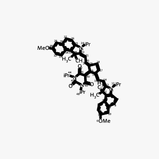 COc1ccc2c3c(ccc2c1)N(C(C)C)/C(=C/C=C1C=C/C(=C\C=C2\N(C(C)C)c4ccc5cc(OC)ccc5c4C2(C)C)C\1=C1C(=O)N(C(C)C)C(=O)N(C(C)C)C1=O)C3(C)C